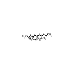 CCCCCSCCCCC.CCOCC